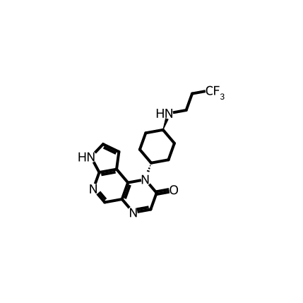 O=c1cnc2cnc3[nH]ccc3c2n1[C@H]1CC[C@H](NCCC(F)(F)F)CC1